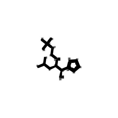 CC(C)C[C@@H](NCOC(C)(C)C)[C@H](O)c1cccs1